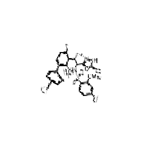 COc1cc(Cl)ccc1S(=O)(=O)N[C@H](c1n[nH]c(=O)o1)[C@H](C)c1c(F)ccc(-c2ccc(Cl)cc2)c1C